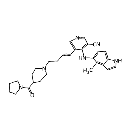 Cc1c(Nc2c(C#N)cncc2C=CCCN2CCC(C(=O)N3CCCC3)CC2)ccc2[nH]ccc12